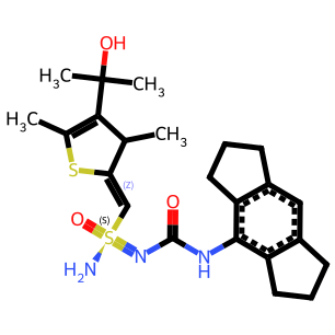 CC1=C(C(C)(C)O)C(C)/C(=C/[S@@](N)(=O)=NC(=O)Nc2c3c(cc4c2CCC4)CCC3)S1